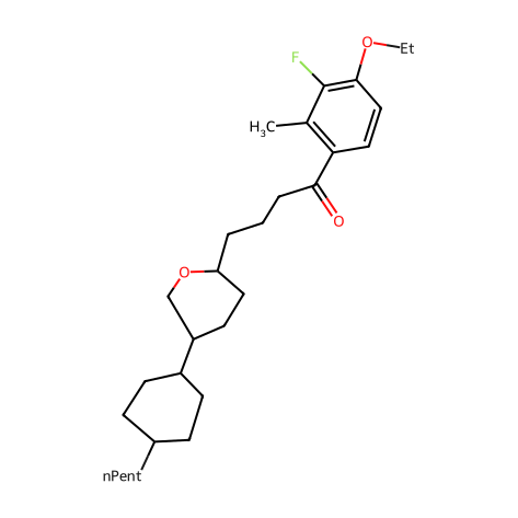 CCCCCC1CCC(C2CCC(CCCC(=O)c3ccc(OCC)c(F)c3C)OC2)CC1